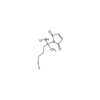 CC([BH][U])(CC[CH2][Y][Y])N1C(=O)C=CC1=O